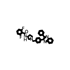 O=C(N[C@@H]1CCN(Cc2ccc(-c3nc4ccccc4nc3-c3ccccc3)cc2)C1)c1c(F)cccc1F